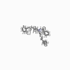 O=S(=O)(/C=C(\NCCSCc1ccsn1)NCCSCc1ncccc1Cl)c1ccccc1